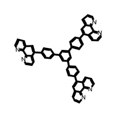 c1cnc2c(c1)cc(-c1ccc(-c3cc(-c4ccc(-c5cc6cccnc6c6ncccc56)cc4)cc(-c4ccc(-c5cc6cccnc6c6ncccc56)cc4)c3)cc1)c1cccnc12